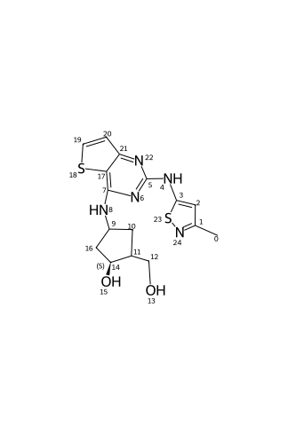 Cc1cc(Nc2nc(NC3CC(CO)[C@@H](O)C3)c3sccc3n2)sn1